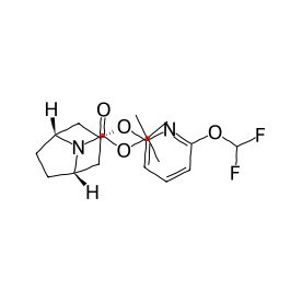 CC(C)(C)OC(=O)N1[C@@H]2CC[C@H]1C[C@@H](Oc1cccc(OC(F)F)n1)C2